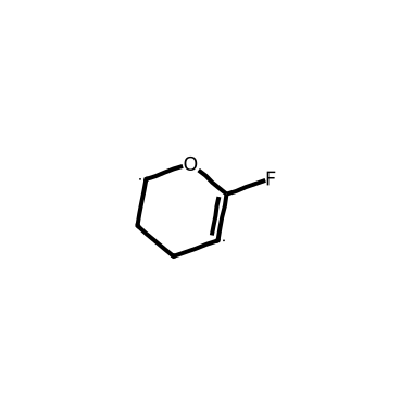 FC1=[C]CC[CH]O1